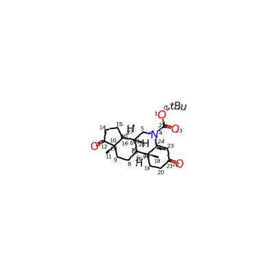 CC(C)(C)OC(=O)N1C[C@@H]2[C@H](CC[C@]3(C)C(=O)CC[C@@H]23)[C@@]2(C)CCC(=O)C=C12